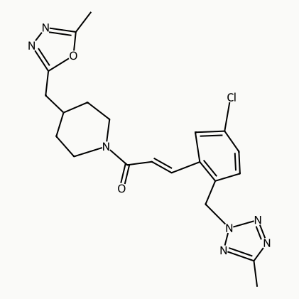 Cc1nnn(Cc2ccc(Cl)cc2C=CC(=O)N2CCC(Cc3nnc(C)o3)CC2)n1